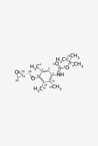 Cc1cc(NC(=O)OC(C)(C)C)c(C)c(C)c1OC[C@@H]1CO1